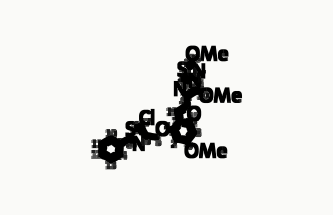 COc1cc(OCc2nc(-c3ccccc3)sc2Cl)c2cc(-c3nc4sc(OC)nn4c3OC)oc2c1